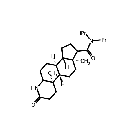 CC(C)N(C(=O)C1CC[C@H]2[C@@H]3CCC4NC(=O)CC[C@]4(C)[C@H]3CC[C@]12C)C(C)C